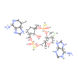 Cc1cnc(N)c2ncn([C@@H]3C[C@@H]4OP(=O)(S)O[C@H]5[C@@H](F)[C@H](n6cnc7c(N)ncnc76)O[C@@H]5COP(=O)(S)O[C@@H]3C4O)c12